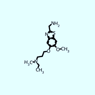 CCN(C)CCCOc1cc2nc(CN)sc2cc1OC